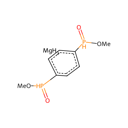 CO[PH](=O)c1ccc([PH](=O)OC)cc1.[MgH2]